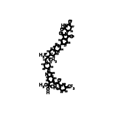 CC(C)(O)c1cc2nn(C3CCN(CC(C)(C)C4CCC5(CC4)CCN(c4ccc6c(c4)C(=O)N(C4CCC(=O)NC4=O)C6=O)CC5)CC3)cc2cc1NC(=O)c1cccc(C(F)(F)F)n1